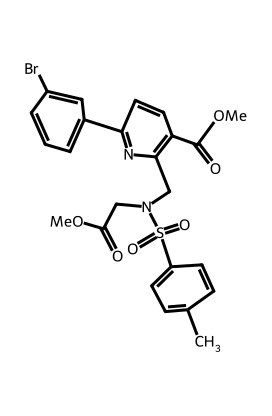 COC(=O)CN(Cc1nc(-c2cccc(Br)c2)ccc1C(=O)OC)S(=O)(=O)c1ccc(C)cc1